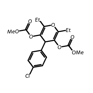 CCC1=C(OC(=O)OC)C(c2ccc(Cl)cc2)C(OC(=O)OC)=C(CC)O1